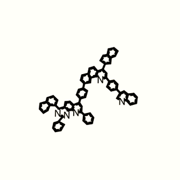 c1ccc(-c2cc(-c3ccc(-c4ccc5ccc6c(-c7ccc8ccccc8c7)cc(-c7ccc(-c8cnc9ccccc9c8)cc7)nc6c5c4)cc3)c3ccc4c(-c5cccc6ccccc56)nc(-c5ccccc5)nc4c3n2)cc1